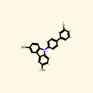 CC(C)(C)c1ccc2c(c1)c1cc(C(C)(C)C)ccc1n2-c1ccc(-c2cccc(Br)c2)cc1